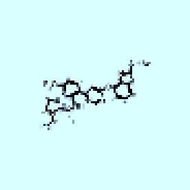 CC(=O)Nc1nc2c(Oc3cc(-c4ccc(C(F)(F)F)nc4N[C@H](C)[C@H]4CCCN4CC(C)C)ncn3)cccc2s1